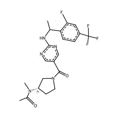 CC(=O)N(C)[C@H]1CCN(C(=O)c2cnc(NC(C)c3ccc(C(F)(F)F)cc3F)nc2)C1